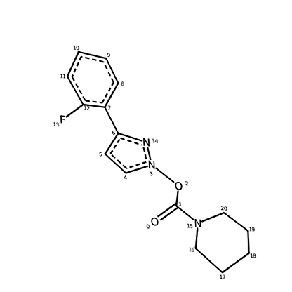 O=C(On1ccc(-c2ccccc2F)n1)N1CCCCC1